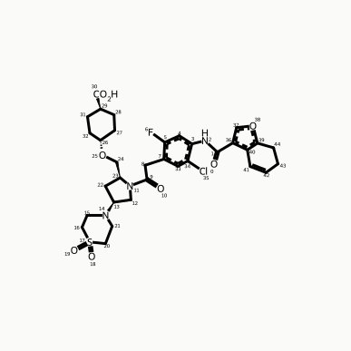 O=C(Nc1cc(F)c(CC(=O)N2C[C@@H](N3CCS(=O)(=O)CC3)C[C@H]2CO[C@H]2CC[C@H](C(=O)O)CC2)cc1Cl)c1coc2c1C=CCC2